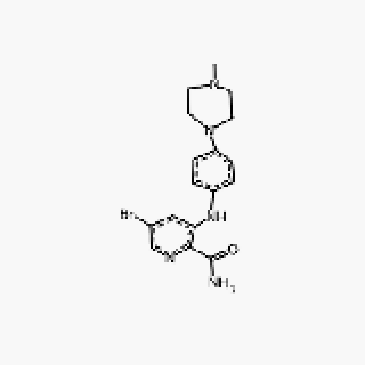 CN1CCN(c2ccc(Nc3cc(Br)cnc3C(N)=O)cc2)CC1